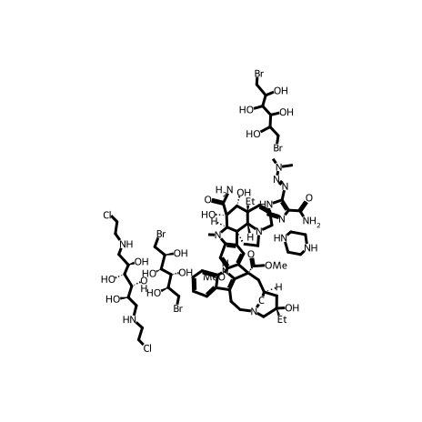 C1CNCCN1.CC[C@]1(O)C[C@H]2CN(CCc3c([nH]c4ccccc34)[C@@](C(=O)OC)(c3cc4c(cc3OC)N(C)[C@H]3[C@@](O)(C(N)=O)[C@H](O)[C@]5(CC)C=CCN6CC[C@]43[C@@H]65)C2)C1.CN(C)/N=N/c1[nH]cnc1C(N)=O.OC(CBr)C(O)C(O)C(O)CBr.O[C@@H]([C@H](O)[C@H](O)CBr)[C@H](O)CBr.O[C@@H]([C@H](O)[C@H](O)CNCCCl)[C@H](O)CNCCCl